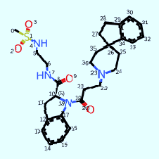 CS(=O)(=O)NCCNC(=O)[C@@H]1Cc2ccccc2N1C(=O)CCN1CCC2(CCc3ccccc32)CC1